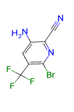 N#Cc1nc(Br)c(C(F)(F)F)cc1N